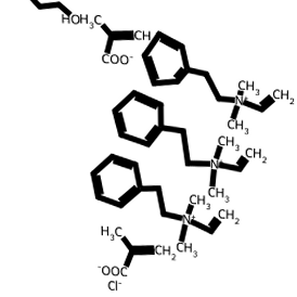 C=C(C)C(=O)[O-].C=C(C)C(=O)[O-].C=C[N+](C)(C)CCc1ccccc1.C=C[N+](C)(C)CCc1ccccc1.C=C[N+](C)(C)CCc1ccccc1.OCCO.[Cl-]